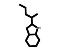 CCCC(C)C1CC2CCCCC2N1